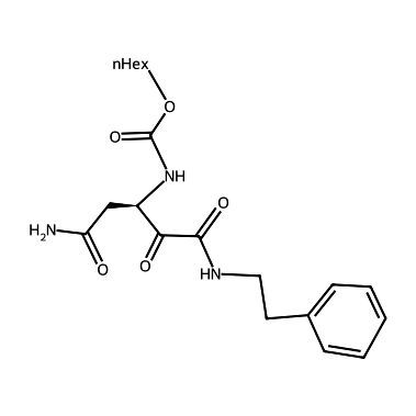 CCCCCCOC(=O)N[C@H](CC(N)=O)C(=O)C(=O)NCCc1ccccc1